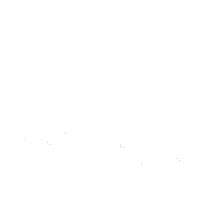 C=C/C(=C\N(C)C)c1cccc(-c2nc(C)c(C3=CCN=C3)cc2C(=O)CC[C@H]2C[C@@H](C)C2)c1